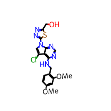 COc1ccc(CNc2ncnc3c2c(Cl)cn3-c2nnc(CO)s2)c(OC)c1